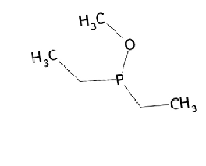 CCP(CC)OC